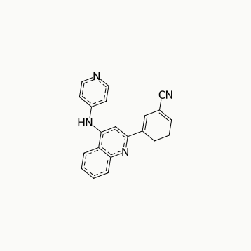 N#CC1=CCCC(c2cc(Nc3ccncc3)c3ccccc3n2)=C1